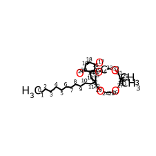 CCCCCCCCCCCCC1(CC2=CC(=O)C=CC2=O)COCCOCC(C)(C)COCCOC1